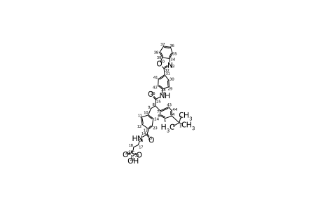 CC(C)(C)c1ccc(C(Cc2ccc(C(=O)NCCS(=O)(=O)O)cc2)C(=O)Nc2ccc(-c3nc4ccccc4o3)cc2)cc1